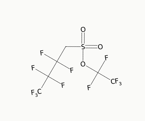 O=S(=O)(CC(F)(F)C(F)(F)C(F)(F)F)OC(F)(F)C(F)(F)F